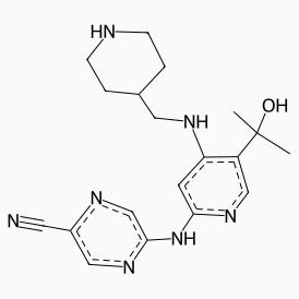 CC(C)(O)c1cnc(Nc2cnc(C#N)cn2)cc1NCC1CCNCC1